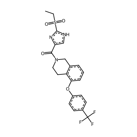 CCS(=O)(=O)c1nc(C(=O)N2CCc3c(cccc3Oc3ccc(C(F)(F)F)cc3)C2)c[nH]1